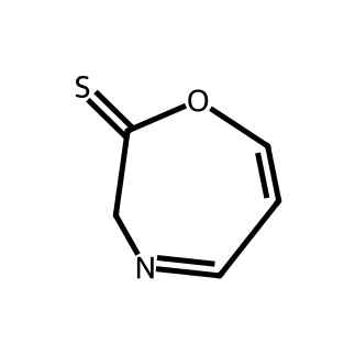 S=C1CN=CC=CO1